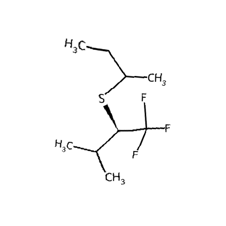 CCC(C)S[C@H](C(C)C)C(F)(F)F